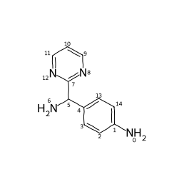 Nc1ccc(C(N)c2ncccn2)cc1